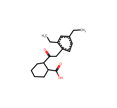 CCc1ccc(CC(=O)C2CCCCC2C(=O)O)c(CC)c1